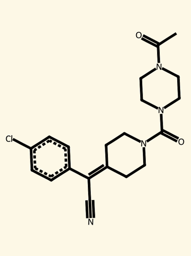 CC(=O)N1CCN(C(=O)N2CCC(=C(C#N)c3ccc(Cl)cc3)CC2)CC1